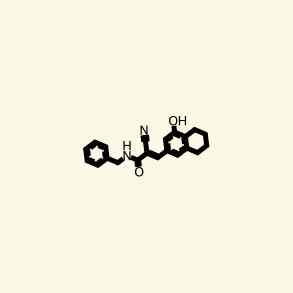 N#C/C(=C\c1cc(O)c2c(c1)CCCC2)C(=O)NCc1ccccc1